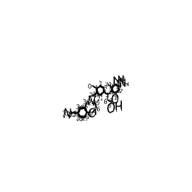 Cc1ccc(C(CC(=O)O)c2ccc3c(nnn3C)c2C)cc1CN1CCOc2ccc(C#N)cc2C1